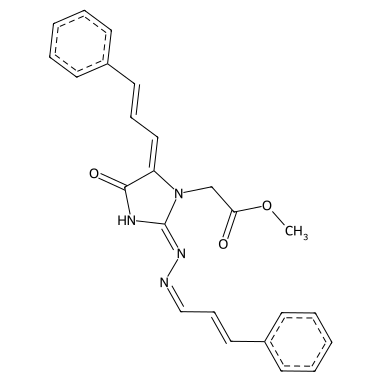 COC(=O)CN1/C(=C/C=C/c2ccccc2)C(=O)N\C1=N/N=C\C=C\c1ccccc1